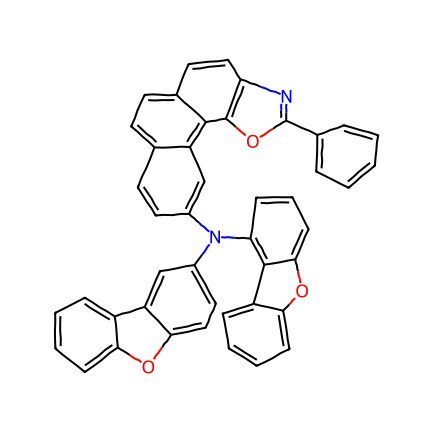 c1ccc(-c2nc3ccc4ccc5ccc(N(c6ccc7oc8ccccc8c7c6)c6cccc7oc8ccccc8c67)cc5c4c3o2)cc1